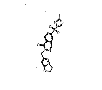 Cc1nc(S(=O)(=O)c2ccc3c(=O)n(Cc4cc5n(n4)CCO5)ncc3c2)cs1